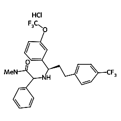 CNC(=O)C(N[C@H](CCc1ccc(C(F)(F)F)cc1)c1cccc(OC(F)(F)F)c1)c1ccccc1.Cl